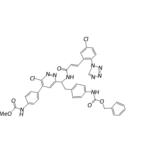 COC(=O)Nc1ccc(-c2cc(C(Cc3ccc(NC(=O)OCc4ccccc4)cc3)NC(=O)/C=C/c3cc(Cl)ccc3-n3cnnn3)nnc2Cl)cc1